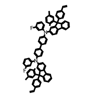 C=Cc1ccc(C2(c3cc(C)ccc3C)c3ccccc3-c3ccc(N(c4ccc(-c5ccc(N(c6cccc(F)c6)c6ccc7c(c6)C(c6ccc(C=C)cc6)(c6cc(C)ccc6C)c6ccccc6-7)cc5)cc4)c4cccc(F)c4)cc32)cc1